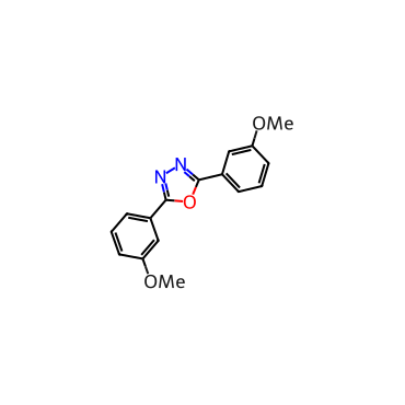 COc1cccc(-c2nnc(-c3cccc(OC)c3)o2)c1